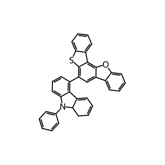 C1=CCC2C(=C1)c1c(-c3cc4c5ccccc5oc4c4c3sc3ccccc34)cccc1N2c1ccccc1